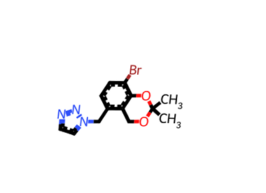 CC1(C)OCc2c(Cn3ccnn3)ccc(Br)c2O1